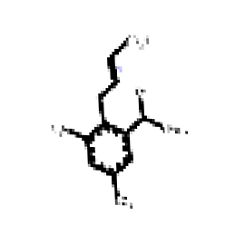 CCCCCC(CC)c1cc([N+](=O)[O-])cc([N+](=O)[O-])c1C/C=C/C(=O)O